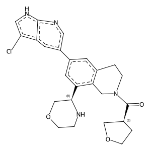 O=C([C@H]1CCOC1)N1CCc2cc(-c3cnc4[nH]cc(Cl)c4c3)cc([C@@H]3COCCN3)c2C1